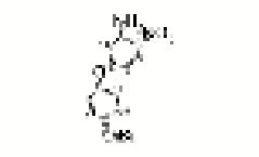 CC(C)COc1ccc(Oc2ccc([N+](=O)[O-])c(N)c2)cc1